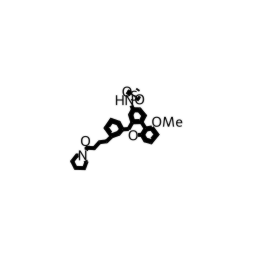 COc1cccc2c1-c1ccc(NS(C)(=O)=O)cc1C(c1cccc(CCCC(=O)N3CCCCC3)c1)O2